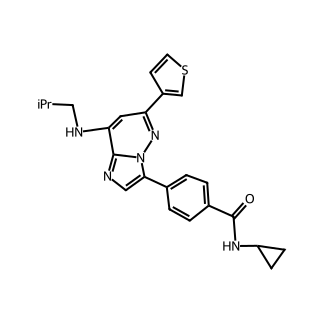 CC(C)CNc1cc(-c2ccsc2)nn2c(-c3ccc(C(=O)NC4CC4)cc3)cnc12